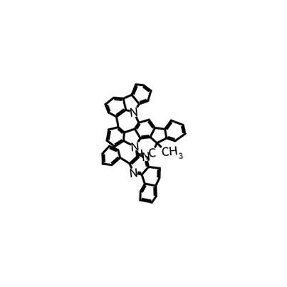 CC1(C)c2ccccc2-c2cc3c4c5c(cccc5n(-c5nc6ccc7ccccc7c6nc5-c5ccccc5)c4c21)c1cccc2c4ccccc4n3c12